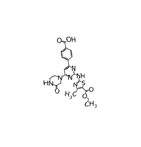 CCOC(=O)c1sc(Nc2nc(-c3ccc(C(=O)O)cc3)cc(N3CCNC(=O)C3)n2)nc1C